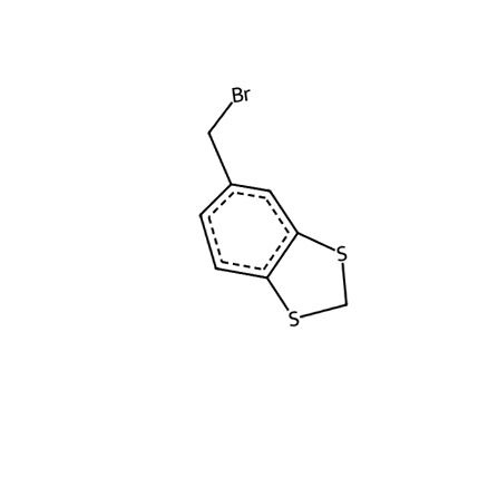 BrCc1ccc2c(c1)SCS2